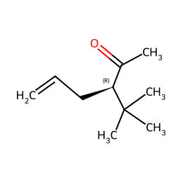 C=CC[C@@H](C(C)=O)C(C)(C)C